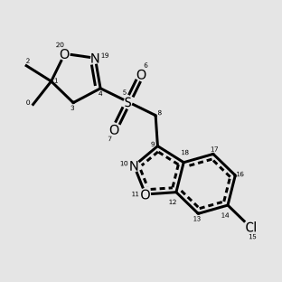 CC1(C)CC(S(=O)(=O)Cc2noc3cc(Cl)ccc23)=NO1